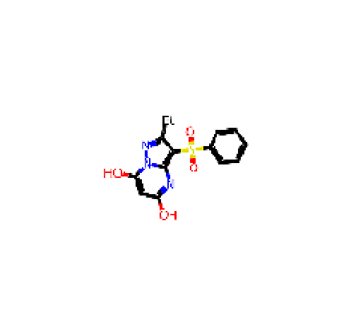 CCc1nn2c(O)cc(O)nc2c1S(=O)(=O)c1ccccc1